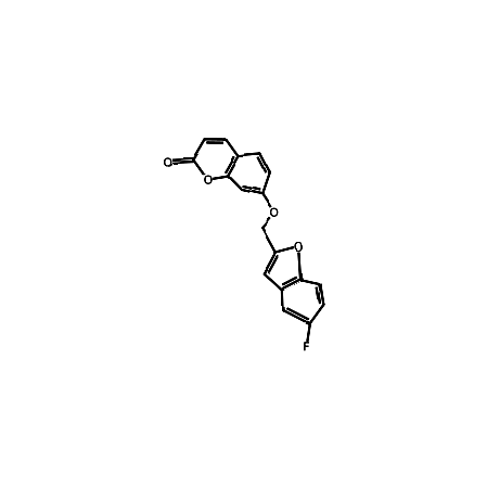 O=c1ccc2ccc(OCc3cc4cc(F)ccc4o3)cc2o1